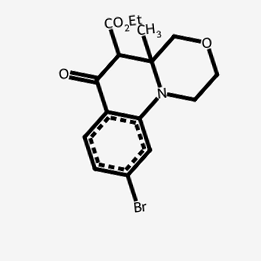 CCOC(=O)C1C(=O)c2ccc(Br)cc2N2CCOCC12C